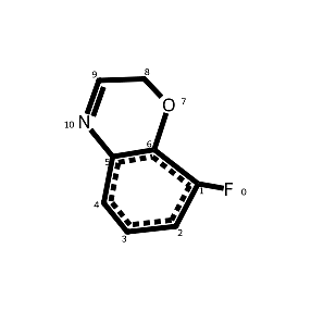 Fc1cccc2c1OCC=N2